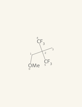 [CH2]OCC(C)(C(F)(F)F)C(F)(F)F